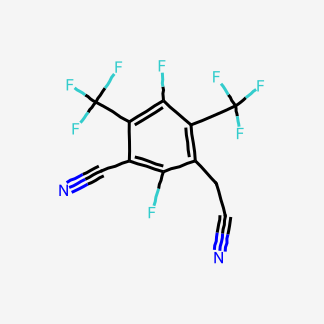 N#CCc1c(F)c(C#N)c(C(F)(F)F)c(F)c1C(F)(F)F